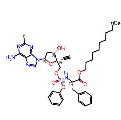 C#C[C@]1(CO[P@@](=O)(N[C@@H](Cc2ccccc2)C(=O)OCCCCCCCCCCCCCCCCCCC)Oc2ccccc2)O[C@@H](n2cnc3c(N)nc(F)nc32)C[C@@H]1O